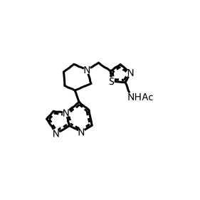 CC(=O)Nc1ncc(CN2CCCC(c3ccnc4nccn34)C2)s1